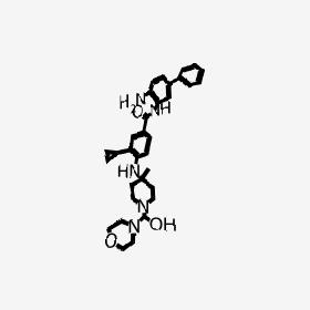 CC1(Nc2ccc(C(=O)Nc3cc(-c4ccccc4)ccc3N)cc2C2CC2)CCN(C(O)N2CCOCC2)CC1